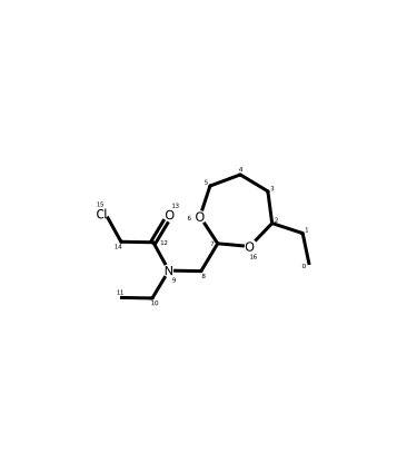 CCC1CCCOC(CN(CC)C(=O)CCl)O1